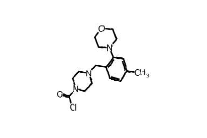 Cc1ccc(CN2CCN(C(=O)Cl)CC2)c(N2CCOCC2)c1